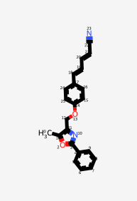 Cc1oc(-c2ccccc2)nc1COc1ccc(/C=C/C=C/C#N)cc1